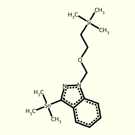 C[Si](C)(C)CCOCn1n[c]([Sn]([CH3])([CH3])[CH3])c2ccccc21